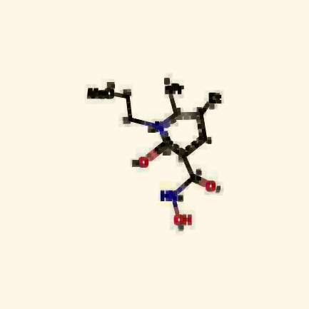 CCCc1c(CC)cc(C(=O)NO)c(=O)n1CCOC